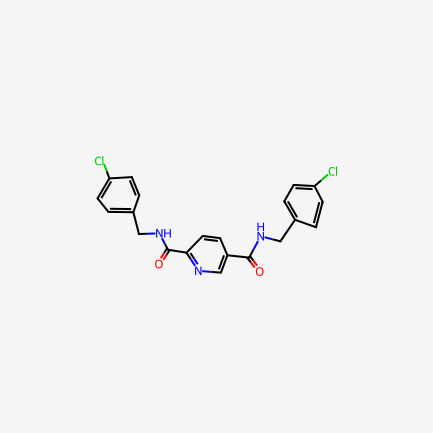 O=C(NCc1ccc(Cl)cc1)c1ccc(C(=O)NCc2ccc(Cl)cc2)nc1